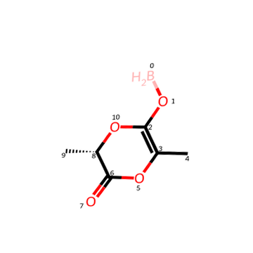 BOC1=C(C)OC(=O)[C@H](C)O1